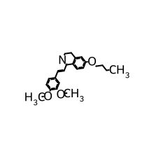 CCCCOc1ccc2c(c1)CCN=C2C=Cc1ccc(OC)c(OC)c1